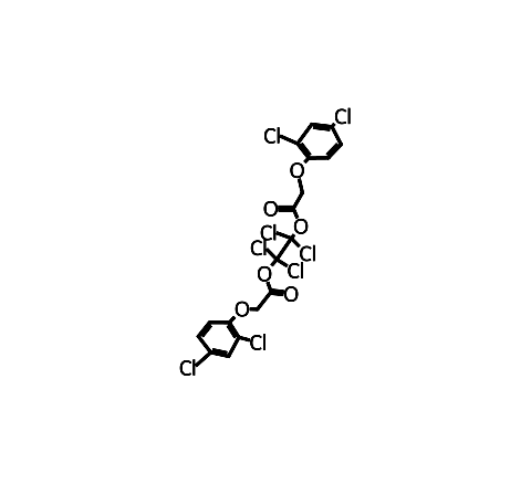 O=C(COc1ccc(Cl)cc1Cl)OC(Cl)(Cl)C(Cl)(Cl)OC(=O)COc1ccc(Cl)cc1Cl